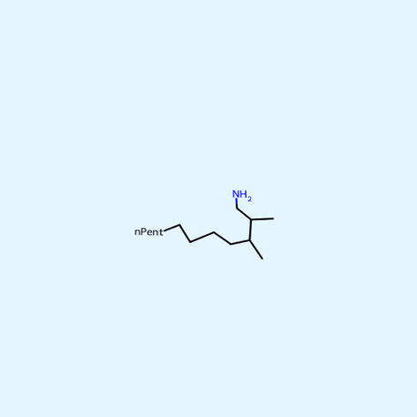 CCCCCCCCCC(C)C(C)CN